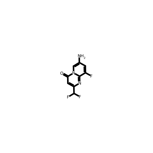 Nc1cc(F)c2nc(C(F)F)cc(=O)n2c1